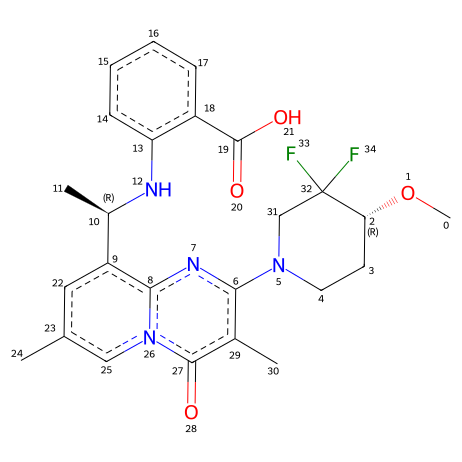 CO[C@@H]1CCN(c2nc3c([C@@H](C)Nc4ccccc4C(=O)O)cc(C)cn3c(=O)c2C)CC1(F)F